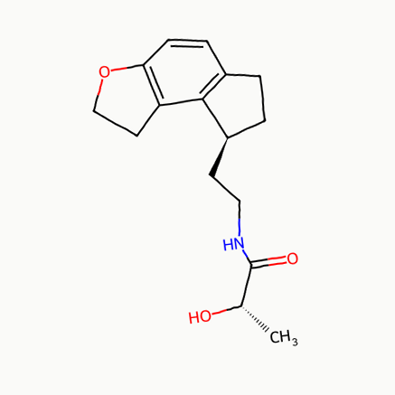 C[C@H](O)C(=O)NCC[C@@H]1CCc2ccc3c(c21)CCO3